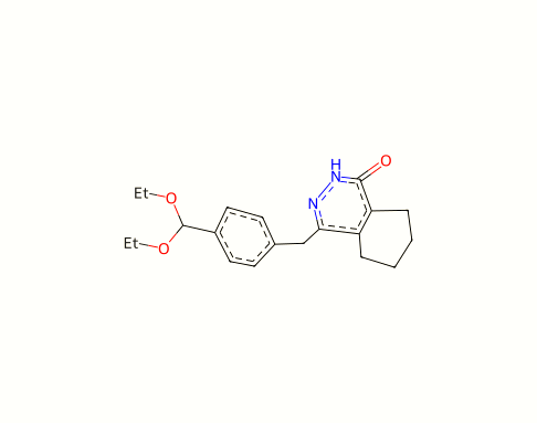 CCOC(OCC)c1ccc(Cc2n[nH]c(=O)c3c2CCCC3)cc1